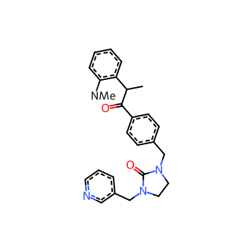 CNc1ccccc1C(C)C(=O)c1ccc(CN2CCN(Cc3cccnc3)C2=O)cc1